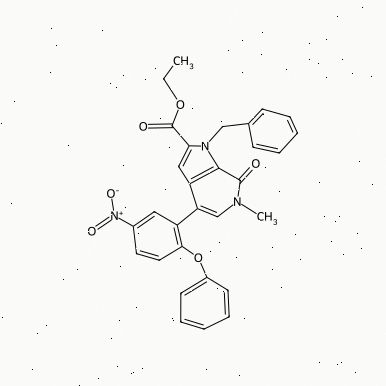 CCOC(=O)c1cc2c(-c3cc([N+](=O)[O-])ccc3Oc3ccccc3)cn(C)c(=O)c2n1Cc1ccccc1